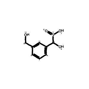 O=S(O)C(O)c1cccc(CO)c1